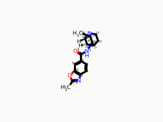 Cc1nc2ccc(C(=O)N[C@@H]3C4CCN(CC4)[C@H]3C)cc2o1